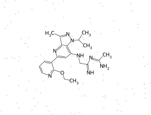 CCOc1ncccc1-c1cc(NCC(=N)/N=C(/C)N)c2c(n1)c(C)nn2C(C)C